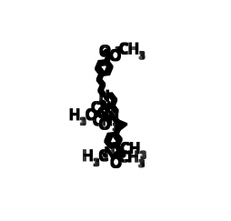 CCOC(=O)c1ccc(CCCN2CCC(CN(C(=O)OC(C)(C)C)C3CC3c3ccc4c(c3)C(C)(C)C(=O)N4C)CC2)cc1